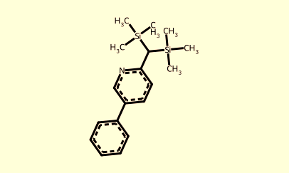 C[Si](C)(C)C(c1ccc(-c2ccccc2)cn1)[Si](C)(C)C